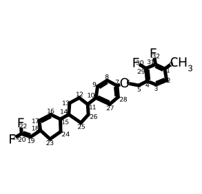 Cc1ccc(COc2ccc(C3CCC(C4C=CC(C=C(F)F)CC4)CC3)cc2)c(F)c1F